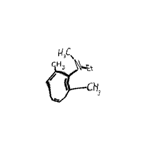 CCN(C)c1c(C)cccc1C